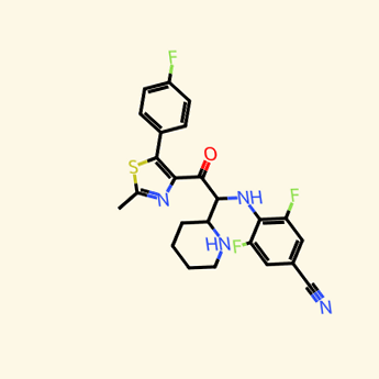 Cc1nc(C(=O)C(Nc2c(F)cc(C#N)cc2F)C2CCCCN2)c(-c2ccc(F)cc2)s1